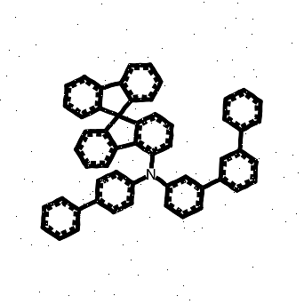 c1ccc(-c2ccc(N(c3cccc(-c4cccc(-c5ccccc5)c4)c3)c3cccc4c3-c3ccccc3C43c4ccccc4-c4ccccc43)cc2)cc1